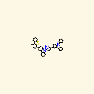 C=C/C(=C1/Sc2ccccc2C1CC)c1ccc2c(c1)c1ccccc1n2-c1ccc(-c2ccc3c(c2)c2ccccc2n3-c2ccccc2)cn1